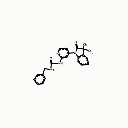 CC1(C)C(=O)N(c2ccnc(NC(=O)NCc3ccccc3)c2)c2ccccc21